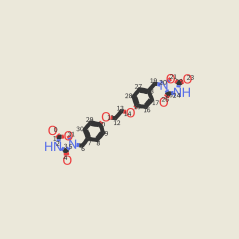 O=c1[nH]c(=O)n(Cc2ccc(OCCOc3ccc(Cn4oc(=O)[nH]c4=O)cc3)cc2)o1